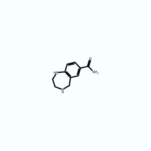 NC(=O)c1ccc2c(c1)CNCCN2